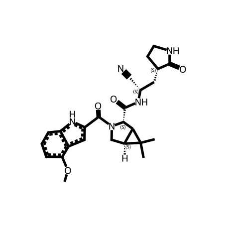 COc1cccc2[nH]c(C(=O)N3C[C@H]4C([C@H]3C(=O)N[C@H](C#N)C[C@@H]3CCNC3=O)C4(C)C)cc12